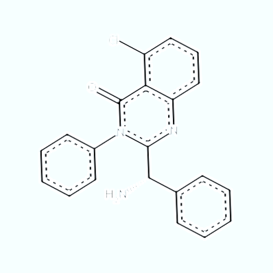 N[C@@H](c1ccccc1)c1nc2cccc(Cl)c2c(=O)n1-c1ccccc1